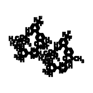 [2H]C1([2H])C=C(c2nccc(C(=O)N[C@H](C)c3ccc(-c4cc(C(F)(F)F)ccc4CNC(=O)OC(C)(C)C)cc3)n2)CC([2H])([2H])O1.[2H]C1([2H])C=C(c2nccc(C(=O)N[C@H](C)c3ccc(-c4cc(C(F)(F)F)ccc4CNC(=O)OC(C)(C)C)cc3)n2)CC([2H])([2H])O1